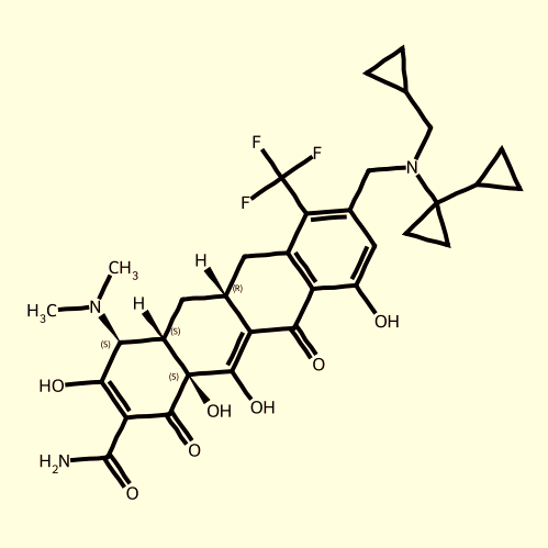 CN(C)[C@@H]1C(O)=C(C(N)=O)C(=O)[C@@]2(O)C(O)=C3C(=O)c4c(O)cc(CN(CC5CC5)C5(C6CC6)CC5)c(C(F)(F)F)c4C[C@H]3C[C@@H]12